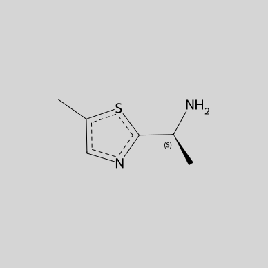 Cc1cnc([C@H](C)N)s1